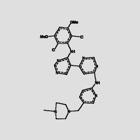 COc1cc(OC)c(Cl)c(Nc2ncncc2-c2cc(Nc3ccc(CN4CCN(C)CC4)cn3)ncn2)c1Cl